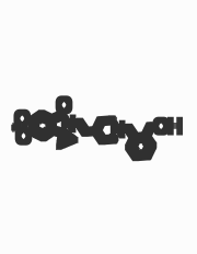 O=C1c2cc3c(cc2C2(CC2)N1CCC1CCN(Cc2ccccc2CO)CC1)OCO3